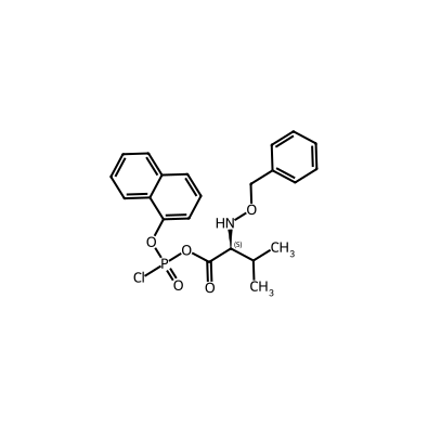 CC(C)[C@H](NOCc1ccccc1)C(=O)OP(=O)(Cl)Oc1cccc2ccccc12